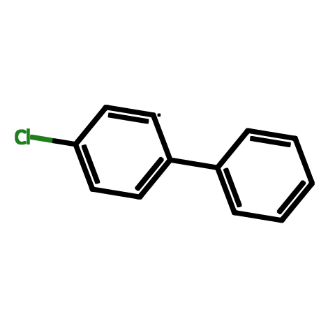 Clc1c[c]c(-c2ccccc2)cc1